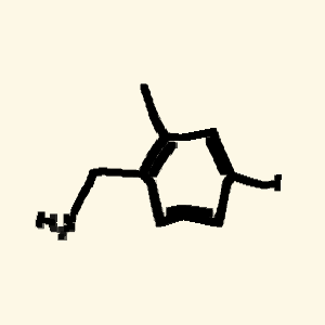 Cc1cc(I)ccc1CN